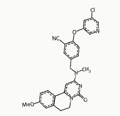 COc1ccc2c(c1)CCn1c-2cc(N(C)Cc2ccc(Oc3cncc(Cl)c3)c(C#N)c2)nc1=O